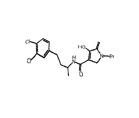 C=C1C(O)=C(C(=O)NC(C)CCc2ccc(Cl)c(Cl)c2)CN1C(C)C